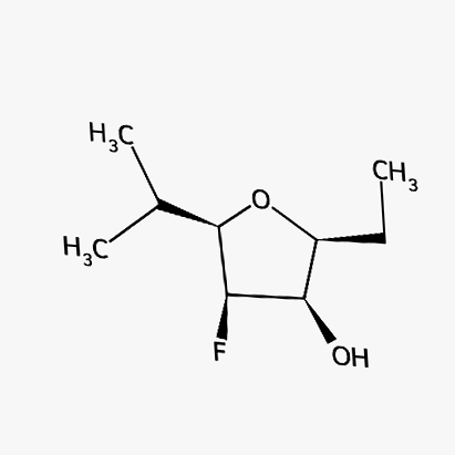 CC[C@@H]1O[C@H](C(C)C)[C@H](F)[C@@H]1O